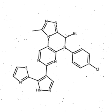 CCC1c2nnc(C)n2-c2cnc(-c3cn[nH]c3-c3nccs3)nc2N1c1ccc(Cl)cc1